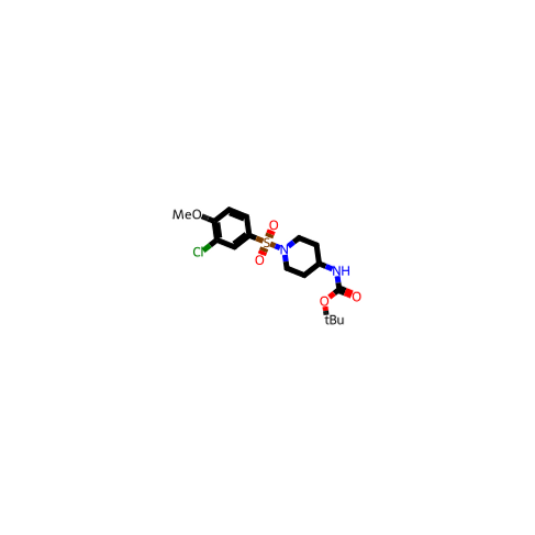 COc1ccc(S(=O)(=O)N2CCC(NC(=O)OC(C)(C)C)CC2)cc1Cl